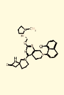 CN1CCC[C@H]1COc1nc2c(c(N3CCCC4(CC(=O)N4)C3)n1)CCN(c1cccc3cccc(Cl)c13)C2